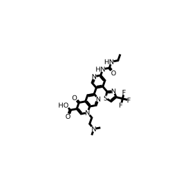 CCNC(=O)Nc1cc(-c2nc(C(F)(F)F)cs2)c(-c2cc3c(=O)c(C(=O)O)cn(CCN(C)C)c3cn2)cn1